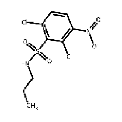 CCCNS(=O)(=O)c1c(Cl)ccc([N+](=O)[O-])c1Cl